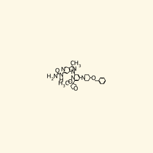 COC1(c2cc(N3CCC(OCc4ccccc4)CC3)cc(-n3nc(C)c4cnc(NC(N)=O)cc43)n2)CCOC1